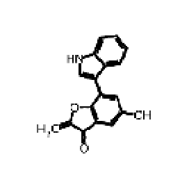 C=C1Oc2c(cc(O)cc2-c2c[nH]c3ccccc23)C1=O